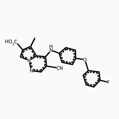 Cc1c(C(=O)O)cn2ncc(C#N)c(Nc3ccc(Oc4cccc(F)c4)cc3)c12